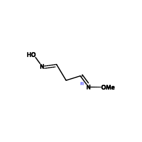 CO/N=[C]/CC=NO